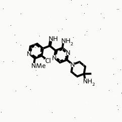 CNc1nccc(C(=N)c2ncc(N3CCC(C)(N)CC3)nc2N)c1Cl